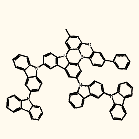 Cc1cc2c3c(c1)-n1c4ccc(-n5c6ccccc6c6cc(-n7c8ccccc8c8ccccc87)ccc65)cc4c4cc(-n5c6ccccc6c6cc(-n7c8ccccc8c8ccccc87)ccc65)cc(c41)B3c1ccc(-c3ccccc3)cc1O2